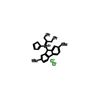 CC(C)C[C](CC(C)C)=[Zr+2]([C]1=CC=CC1)[CH]1c2cc(C(C)(C)C)ccc2-c2ccc(C(C)(C)C)cc21.[Cl-].[Cl-]